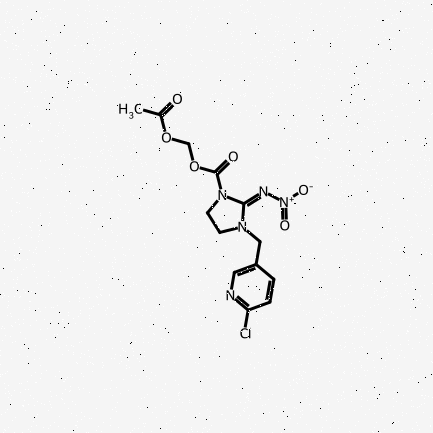 CC(=O)OCOC(=O)N1CCN(Cc2ccc(Cl)nc2)/C1=N\[N+](=O)[O-]